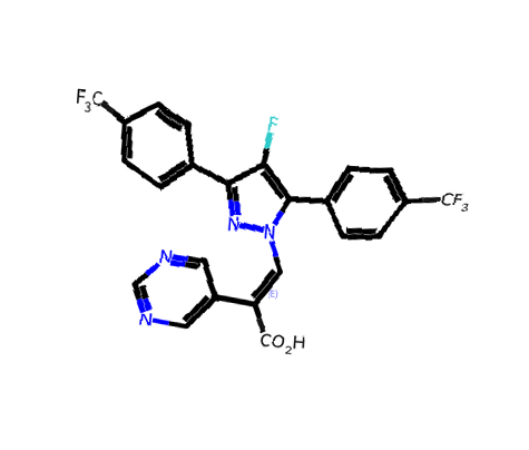 O=C(O)/C(=C/n1nc(-c2ccc(C(F)(F)F)cc2)c(F)c1-c1ccc(C(F)(F)F)cc1)c1cncnc1